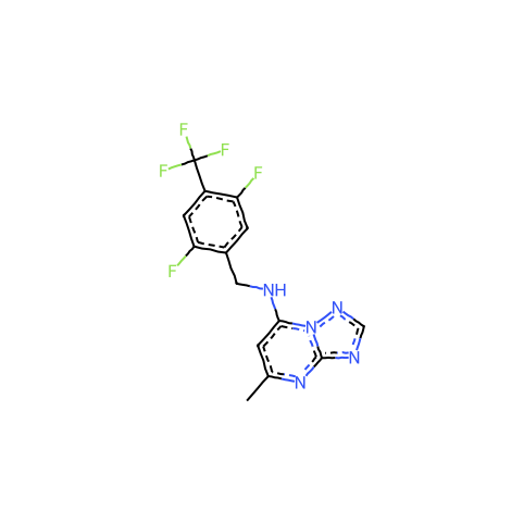 Cc1cc(NCc2cc(F)c(C(F)(F)F)cc2F)n2ncnc2n1